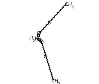 CCCCCCCCCCCCCCCCCCCCCCOCCCCCCCCCCCCOc1ccc(C(N)c2ccc(OCCCCCCCCCCCCOCCCCCCCCCCCCCCCCCCCCCC)cc2)cc1